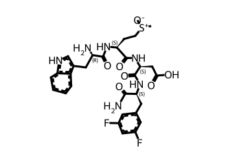 C[S+]([O-])CC[C@H](NC(=O)[C@H](N)Cc1c[nH]c2ccccc12)C(=O)N[C@@H](CC(=O)O)C(=O)N[C@@H](Cc1cc(F)cc(F)c1)C(N)=O